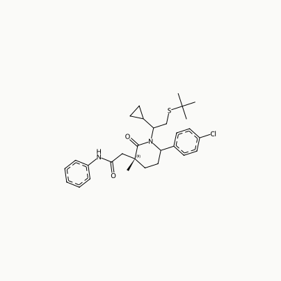 CC(C)(C)SCC(C1CC1)N1C(=O)[C@@](C)(CC(=O)Nc2ccccc2)CCC1c1ccc(Cl)cc1